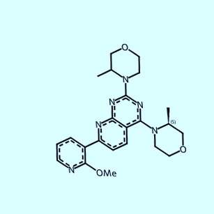 COc1ncccc1-c1ccc2c(N3CCOC[C@@H]3C)nc(N3CCOCC3C)nc2n1